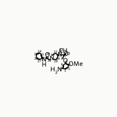 COc1ccc(N)cc1OCC(=O)N(C)C1CCN(CC(=O)Nc2ccccc2)CC1